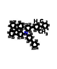 Cc1ccccc1-c1ccc(-c2cccc(N(c3ccc(-c4ccccc4)cc3)c3ccc4c(c3)C(c3ccccc3)(c3ccccc3)c3ccccc3-4)c2)cc1C